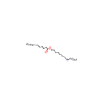 CCCCCCCC/C=C\CCCCCCCCOC(=O)CCCCCCCCCCCCCCC